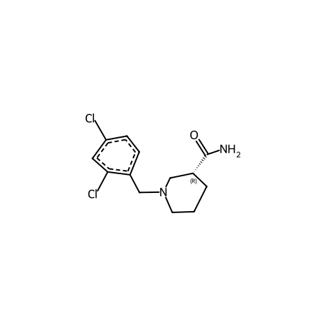 NC(=O)[C@@H]1CCCN(Cc2ccc(Cl)cc2Cl)C1